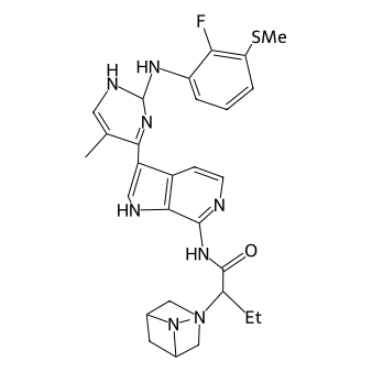 CCC(C(=O)Nc1nccc2c(C3=NC(Nc4cccc(SC)c4F)NC=C3C)c[nH]c12)N1CC2CC(C1)N2C